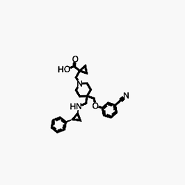 N#Cc1cccc(OCC2(CN[C@@H]3C[C@H]3c3ccccc3)CCN(CC3(C(=O)O)CC3)CC2)c1